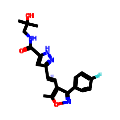 Cc1onc(-c2ccc(F)cc2)c1/C=C/c1cc(C(=O)NCC(C)(C)O)[nH]n1